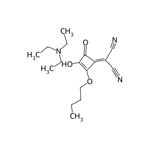 CCCCOC1=C(O)C(=O)C1=C(C#N)C#N.CCN(CC)CC